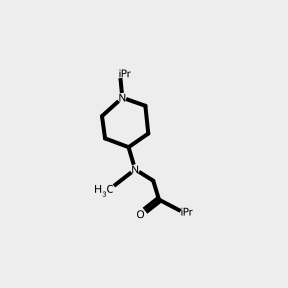 CC(C)C(=O)CN(C)C1CCN(C(C)C)CC1